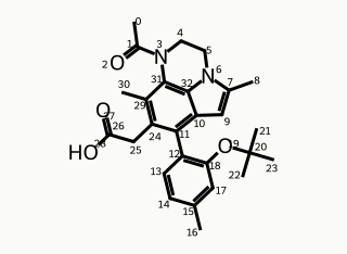 CC(=O)N1CCn2c(C)cc3c(-c4ccc(C)cc4OC(C)(C)C)c(CC(=O)O)c(C)c1c32